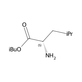 CC(C)COC(=O)[C@@H](N)CC(C)C